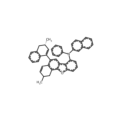 CC1C=Cc2c(C3=C[C@@H](C)Cc4ccccc43)cc3c(oc4cccc(N(c5ccccc5)c5ccc6ccccc6c5)c43)c2C1